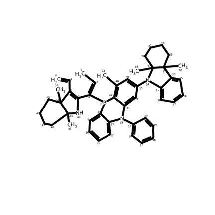 C=CC1=C(/C(=C\C)B2c3ccccc3N(c3ccccc3)c3cc(N4c5ccccc5C5(C)CCCCC45C)cc(C)c32)NC2(C)CCCCC12C